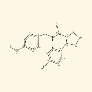 COc1ccc(CN[S+]([O-])C2CCCC2c2ncc(F)cn2)cc1